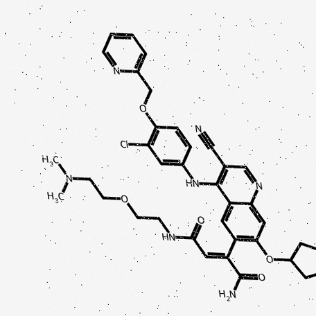 CN(C)CCOCCNC(=O)/C=C(/C(N)=O)c1cc2c(Nc3ccc(OCc4ccccn4)c(Cl)c3)c(C#N)cnc2cc1OC1CCOC1